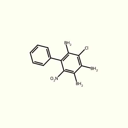 Bc1c(B)c([N+](=O)[O-])c(-c2ccccc2)c(B)c1Cl